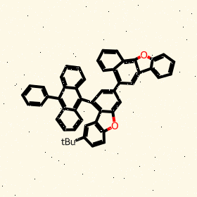 CC(C)(C)c1ccc2oc3cc(-c4cc5c6ccccc6oc5c5ccccc45)cc(-c4c5ccccc5c(-c5ccccc5)c5ccccc45)c3c2c1